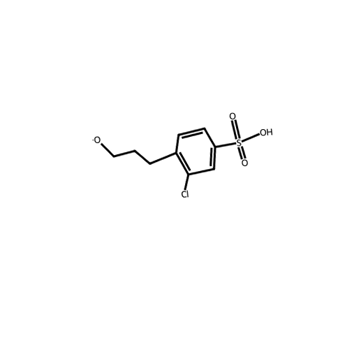 [O]CCCc1ccc(S(=O)(=O)O)cc1Cl